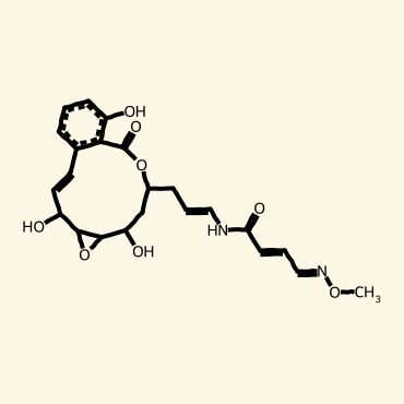 CON=C/C=C/C(=O)N/C=C/CC1CC(O)C2OC2C(O)/C=C/c2cccc(O)c2C(=O)O1